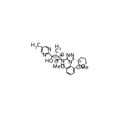 COc1cccc(OC)c1-n1c(NS(=O)(=O)[C@@H](C)[C@H](O)c2ncc(C)cn2)nnc1[C@@H]1CCCOC1